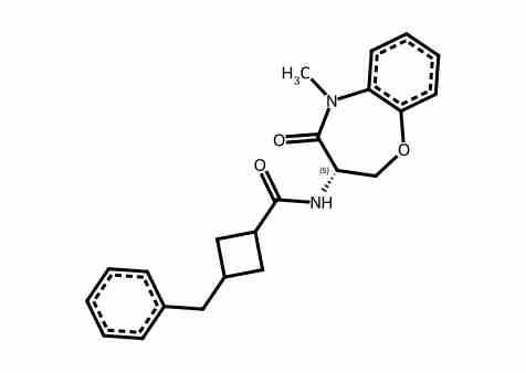 CN1C(=O)[C@@H](NC(=O)C2CC(Cc3ccccc3)C2)COc2ccccc21